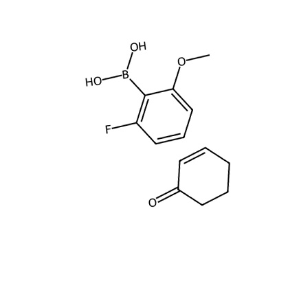 COc1cccc(F)c1B(O)O.O=C1C=CCCC1